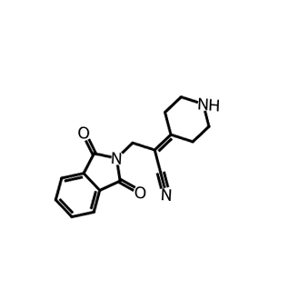 N#CC(CN1C(=O)c2ccccc2C1=O)=C1CCNCC1